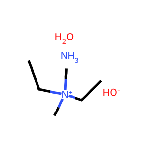 CC[N+](C)(C)CC.N.O.[OH-]